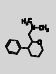 CN(C)CC1OCCCC1c1ccccc1